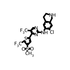 CS(=O)(=O)c1cc(-c2nc(Nc3cc4c(cc3Cl)CNCC4)ncc2C(F)(F)F)sc1C(F)(F)F